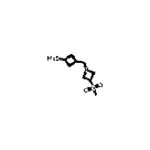 CSC1CC(CN2CC(S(C)(=O)=O)C2)C1